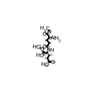 COC(=O)[C@@H](N)CCC(=O)N[C@@H](CCC(=O)O)C(=O)O.Cl